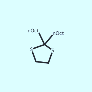 CCCCCCCCC1(CCCCCCCC)SCCS1